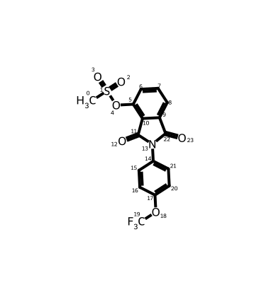 CS(=O)(=O)Oc1cccc2c1C(=O)N(c1ccc(OC(F)(F)F)cc1)C2=O